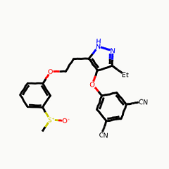 CCc1n[nH]c(CCOc2cccc([S+](C)[O-])c2)c1Oc1cc(C#N)cc(C#N)c1